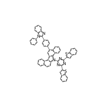 c1ccc(-n2c(-c3ccc(-c4cc5c6c7ccccc7ccc6n(-c6nc(-c7cc8ccccc8s7)nc(-c7cc8ccccc8s7)n6)c5c5ccccc45)cc3)nc3ccccc32)cc1